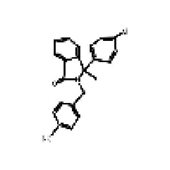 CC1(c2ccc(Cl)cc2)c2ccccc2C(=O)N1Cc1ccc(C#N)cc1